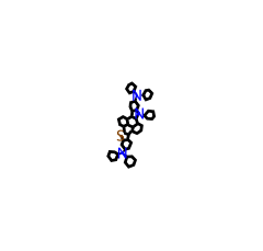 c1ccc(N(c2ccccc2)c2ccc3c(c2)sc2c4cccc5c4c4c(cccc4c4c5c5ccc(N(c6ccccc6)c6ccccc6)cc5n4-c4ccccc4)c32)cc1